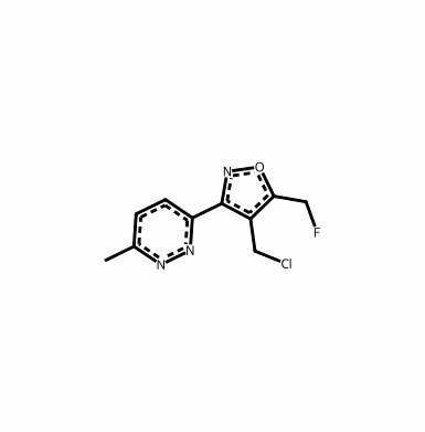 Cc1ccc(-c2noc(CF)c2CCl)nn1